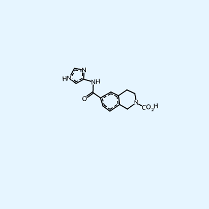 O=C(Nc1c[nH]cn1)c1ccc2c(c1)CCN(C(=O)O)C2